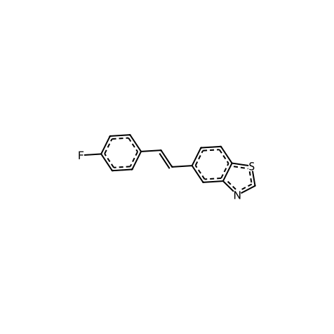 Fc1ccc(/C=C/c2ccc3scnc3c2)cc1